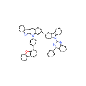 c1ccc(-c2nc(-n3c4ccccc4c4cc(-c5ccc6cc7c8ccccc8nc-7n(-c7ccc(-c8cccc9c8oc8ccccc89)cc7)c6c5)ccc43)nc3ccccc23)cc1